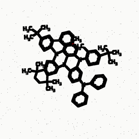 Cc1cc2c3c(c1)N(c1ccc(C(C)(C)C)cc1-c1ccccc1)c1cc4c(cc1B3c1ccc(N(c3ccccc3)c3ccccc3)cc1N2c1ccc(C(C)(C)C)cc1C)C(C)(C)CCC4(C)C